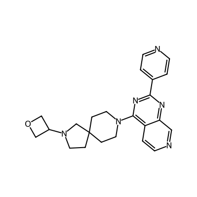 c1cc(-c2nc(N3CCC4(CC3)CCN(C3COC3)C4)c3ccncc3n2)ccn1